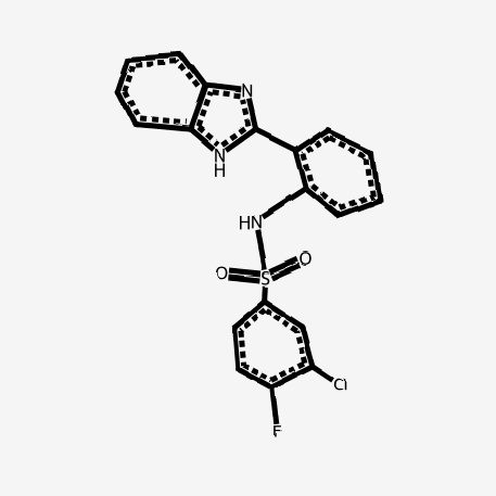 O=S(=O)(Nc1ccccc1-c1nc2ccccc2[nH]1)c1ccc(F)c(Cl)c1